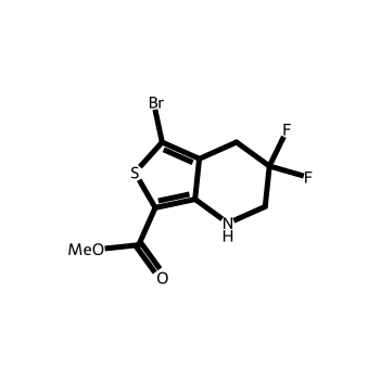 COC(=O)c1sc(Br)c2c1NCC(F)(F)C2